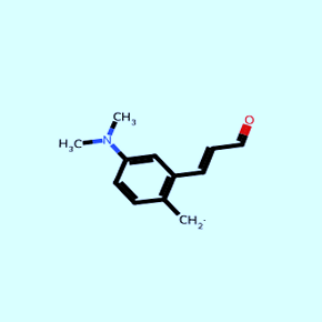 [CH2]c1ccc(N(C)C)cc1C=CC=O